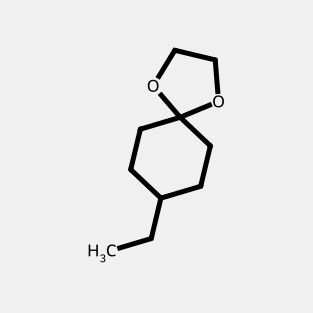 CCC1CCC2(CC1)OCCO2